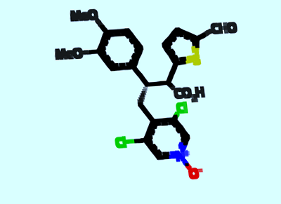 COc1ccc([C@@H](Cc2c(Cl)c[n+]([O-])cc2Cl)C(C(=O)O)c2ccc(C=O)s2)cc1OC